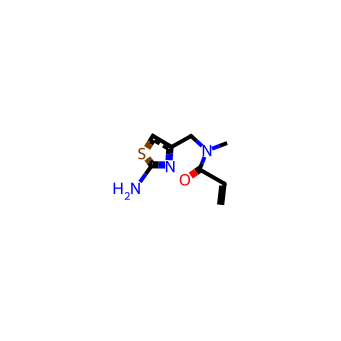 C=CC(=O)N(C)Cc1csc(N)n1